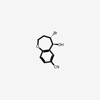 N#Cc1ccc2c(c1)[C@H](O)[C@@H](Br)CCO2